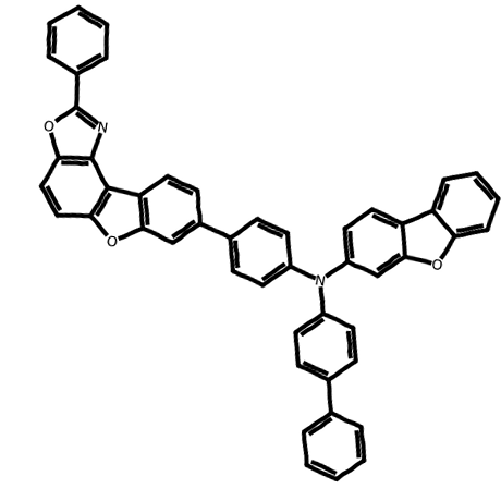 c1ccc(-c2ccc(N(c3ccc(-c4ccc5c(c4)oc4ccc6oc(-c7ccccc7)nc6c45)cc3)c3ccc4c(c3)oc3ccccc34)cc2)cc1